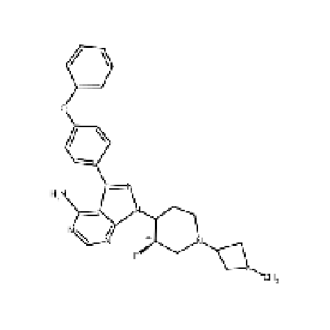 CN1CC(N2CCC(n3nc(-c4ccc(Oc5ccccc5)cc4)c4c(N)ncnc43)[C@H](F)C2)C1